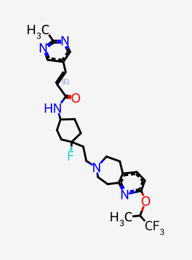 Cc1ncc(/C=C/C(=O)NC2CCC(F)(CCN3CCc4ccc(OC(C)C(F)(F)F)nc4CC3)CC2)cn1